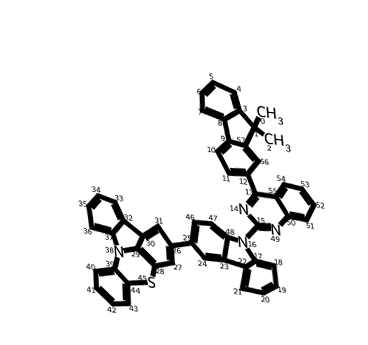 CC1(C)c2ccccc2-c2ccc(-c3nc(-n4c5ccccc5c5cc(-c6cc7c8c(c6)c6ccccc6n8-c6ccccc6S7)ccc54)nc4ccccc34)cc21